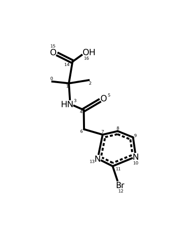 CC(C)(NC(=O)Cc1ccnc(Br)n1)C(=O)O